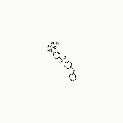 CCCCCCS(=O)(=O)Nc1ccc(S(=O)(=O)c2ccc(Oc3ccccc3)cc2)cc1